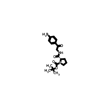 Bc1ccc(C(=O)CNC(=O)[C@@H]2CCCN2C(=O)OC(C)(C)C)cc1